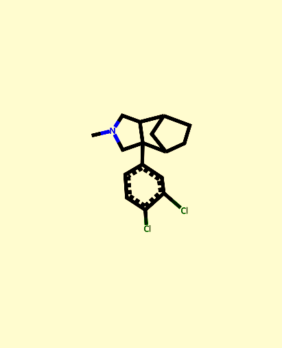 CN1CC2C3CCC(C3)C2(c2ccc(Cl)c(Cl)c2)C1